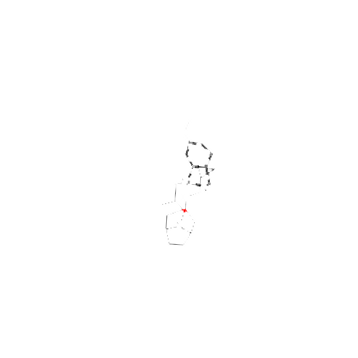 COc1ccc2cnn(CC(C)CN3C4CCC3CC(OCC3CC3)C4)c2c1